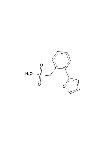 CS(=O)(=O)Cc1ccccc1-c1ccco1